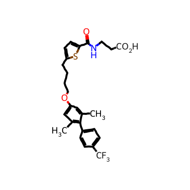 Cc1cc(OCCCCc2ccc(C(=O)NCCC(=O)O)s2)cc(C)c1-c1ccc(C(F)(F)F)cc1